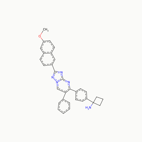 COc1ccc2cc(-c3nc4nc(-c5ccc(C6(N)CCC6)cc5)c(-c5ccccc5)cn4n3)ccc2c1